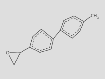 Cc1ccc(-c2ccc(C3CO3)cc2)cc1